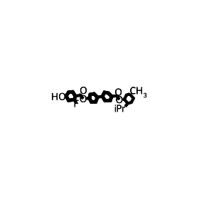 CC1CCC(C(C)C)C(OC(=O)c2ccc(-c3ccc(OC(=O)c4ccc(O)cc4F)cc3)cc2)C1